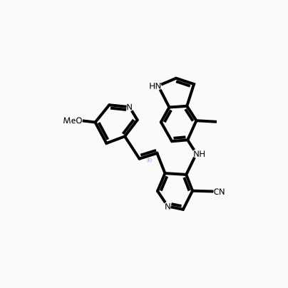 COc1cncc(/C=C/c2cncc(C#N)c2Nc2ccc3[nH]ccc3c2C)c1